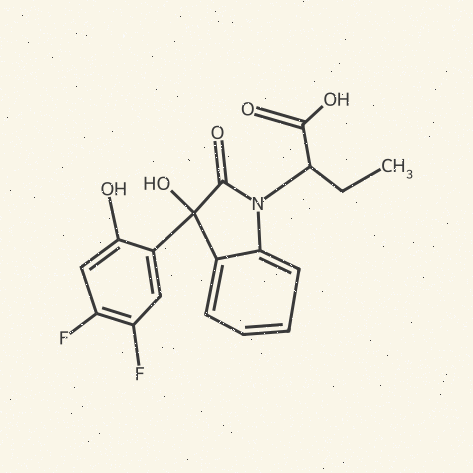 CCC(C(=O)O)N1C(=O)C(O)(c2cc(F)c(F)cc2O)c2ccccc21